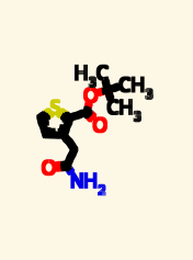 CC(C)(C)OC(=O)c1sccc1CC(N)=O